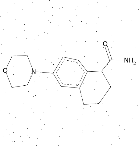 NC(=O)C1CCCc2cc(N3CCOCC3)ccc21